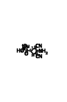 CC(C)(C)N(O)CC(=O)c1cc(C#N)c(N)c(C#N)c1